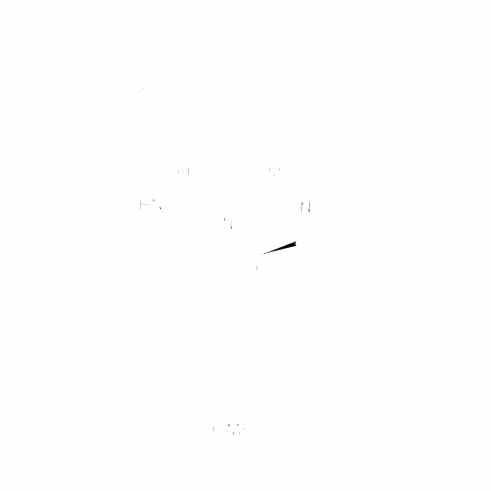 CCCCN[C@H]1Cc2cc(OC)ccc2[C@H](c2ccccn2)N1C(=O)C#C[Si](C)(C)C